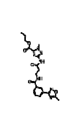 CCCOC(=O)c1cc(NC(=O)CCNC(=O)c2cccc(-c3noc(C)n3)c2)nn1C